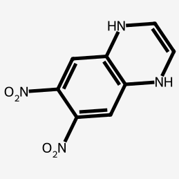 O=[N+]([O-])c1cc2c(cc1[N+](=O)[O-])NC=CN2